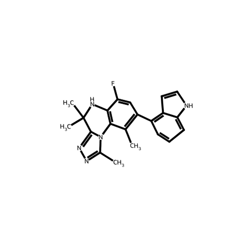 Cc1c(-c2cccc3[nH]ccc23)cc(F)c2c1-n1c(C)nnc1C(C)(C)N2